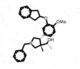 COc1ccc([C@H]2CN(Cc3ccccc3)C[C@@]2(C)[C@@H](C)O)cc1OC1Cc2ccccc2C1